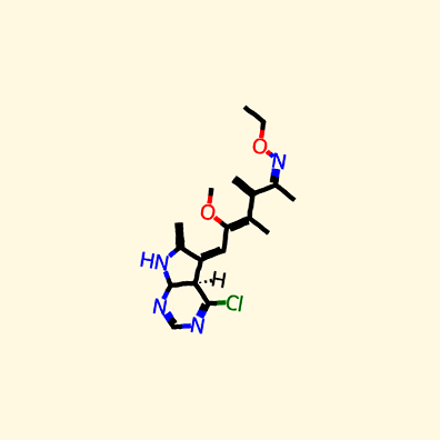 C=C1NC2N=CN=C(Cl)[C@@H]2/C1=C/C(OC)=C(\C)C(=C)/C(C)=N\OCC